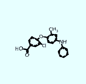 Cc1cc(Nc2ccccc2)ccc1Oc1ccc(C(=O)O)cc1Cl